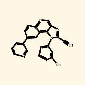 C#Cc1nc2cnc3ccc(-c4cccnc4)cc3c2n1-c1cccc(C#N)c1